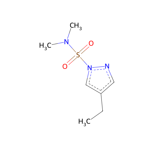 CCc1cnn(S(=O)(=O)N(C)C)c1